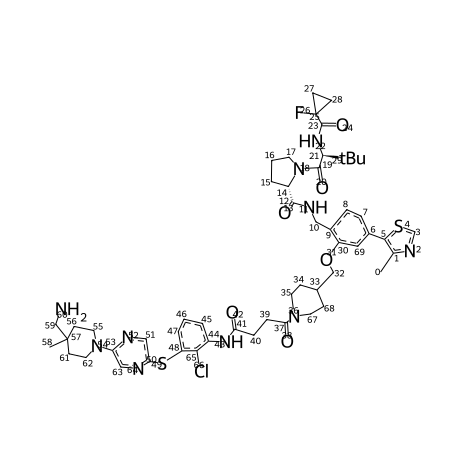 Cc1ncsc1-c1ccc(CNC(=O)[C@@H]2CCCN2C(=O)[C@@H](NC(=O)C2(F)CC2)C(C)(C)C)c(OCC2CCN(C(=O)CCC(=O)Nc3cccc(Sc4cnc(N5CCC(C)(CN)CC5)cn4)c3Cl)CC2)c1